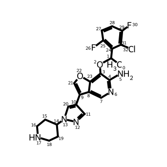 CC(Oc1c(N)ncc2c(-c3cnn(C4CCNCC4)c3)coc12)c1c(F)ccc(F)c1Cl